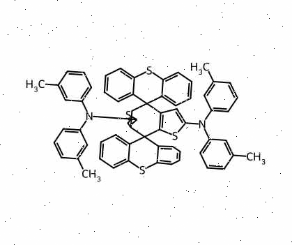 Cc1cccc(N(c2cccc(C)c2)c2cc3c(s2)C2(c4ccccc4Sc4ccccc42)c2cc(N(c4cccc(C)c4)c4cccc(C)c4)sc2C32c3ccccc3Sc3ccccc32)c1